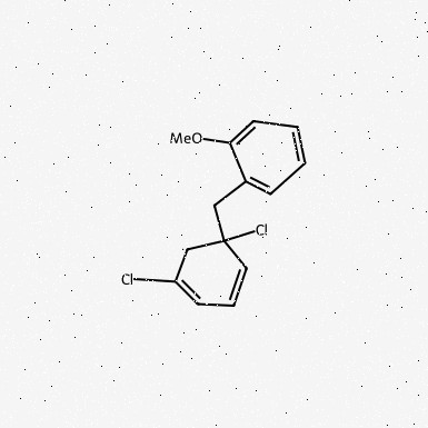 COc1ccccc1CC1(Cl)[CH]C(Cl)=CC=C1